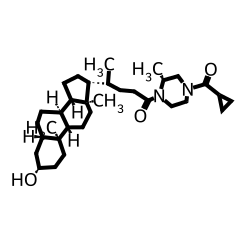 CC(CCC(=O)N1CCN(C(=O)C2CC2)C[C@@H]1C)[C@H]1CC[C@H]2[C@@H]3CC[C@H]4C[C@@H](O)CC[C@]4(C)[C@H]3CC[C@]12C